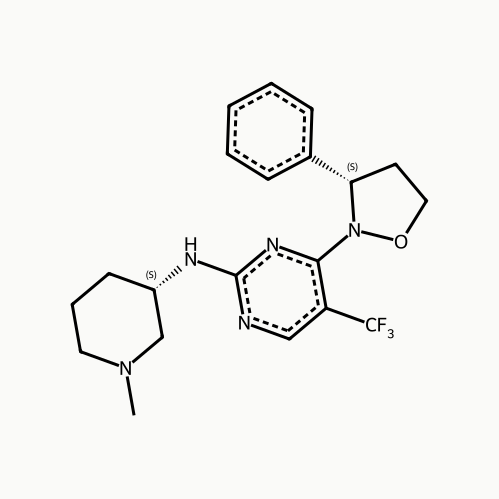 CN1CCC[C@H](Nc2ncc(C(F)(F)F)c(N3OCC[C@H]3c3ccccc3)n2)C1